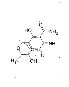 CC1OC2CC(O)C1(O)C1=C2C(O)=C(C(N)=O)C(=N)C1=O